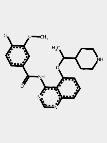 COc1cc(C(=O)Nc2ncnc3cccc(OC(C)C4CCNCC4)c23)ccc1Cl